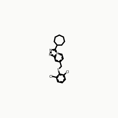 Clc1cccc(Cl)c1SCc1ccn2c(C3CCCCCC3)nnc2c1